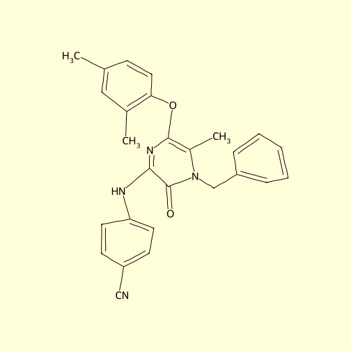 Cc1ccc(Oc2nc(Nc3ccc(C#N)cc3)c(=O)n(Cc3ccccc3)c2C)c(C)c1